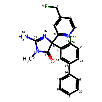 CN1C(=O)C(c2cc(CF)ccn2)(c2cc(-c3ccccc3)ccc2F)N=C1N